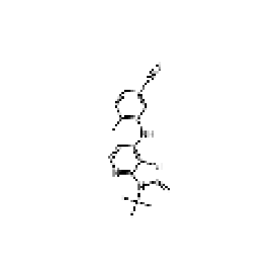 C=C1Nc2c(Nc3cc(C#N)ccc3C)ccnc2N1C(C)(C)C